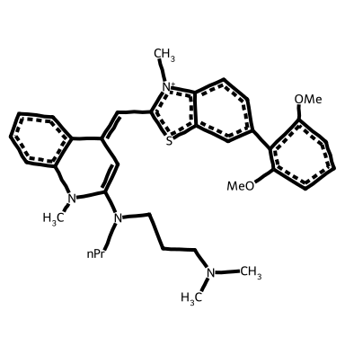 CCCN(CCCN(C)C)C1=CC(=Cc2sc3cc(-c4c(OC)cccc4OC)ccc3[n+]2C)c2ccccc2N1C